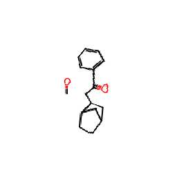 C=O.O=C(CC1CC2CCC1C2)c1ccccc1